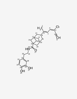 C#C/C(Cl)=C\C=C(/C)C1CC2CC3(C1)CC(C(=O)NCCc1ccc(O)c(O)c1)(C2)C3